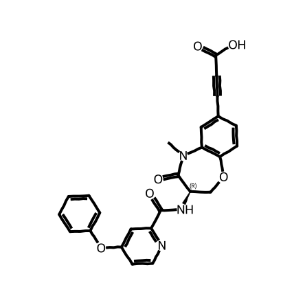 CN1C(=O)[C@H](NC(=O)c2cc(Oc3ccccc3)ccn2)COc2ccc(C#CC(=O)O)cc21